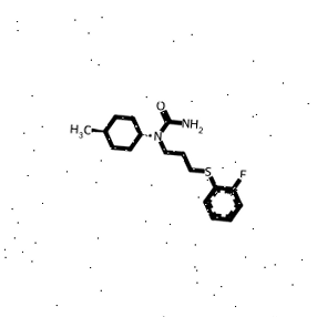 C[C@H]1CC[C@H](N(CCCSc2ccccc2F)C(N)=O)CC1